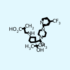 C=C(CN[C@@H]1CC[C@@](C(=O)N2CCN(c3cc(C(F)(F)F)ccn3)CC2)(C(C)(C)O)C1)C(=O)O